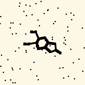 COc1cc2c(cc1OC)=CC(=O)C=2